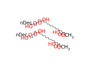 CCCCCCCCCCC(O)C1CCC(C2CCC(C(O)CCCCCCCCCCC(O)CC3=CC(C)OC3=O)O2)O1.CCCCCCCCCCC(O)C1CCC(C2CCC(C(O)CCCCCCCCCCC(O)CC3=CC(C)OC3=O)O2)O1